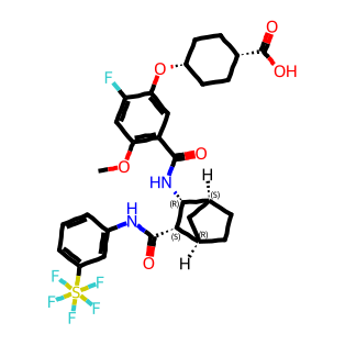 COc1cc(F)c(O[C@H]2CC[C@@H](C(=O)O)CC2)cc1C(=O)N[C@@H]1[C@H]2CC[C@H](C2)[C@@H]1C(=O)Nc1cccc(S(F)(F)(F)(F)F)c1